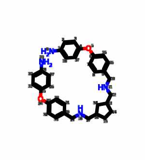 Nc1ccc(Oc2ccc(CNCC3CCC(CNCc4ccc(Oc5ccc(N)cc5)cc4)C3)cc2)cc1